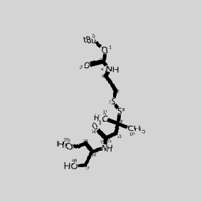 CC(C)(C)OC(=O)NCCSSC(C)(C)CC(=O)NC(CO)CO